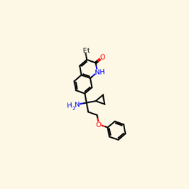 CCc1cc2ccc(C(N)(CCOc3ccccc3)C3CC3)cc2[nH]c1=O